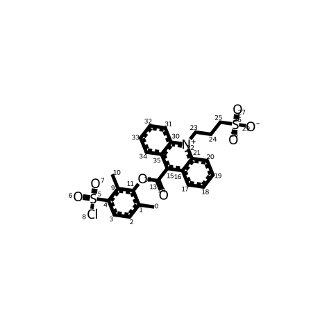 Cc1ccc(S(=O)(=O)Cl)c(C)c1OC(=O)c1c2ccccc2[n+](CCCS(=O)(=O)[O-])c2ccccc12